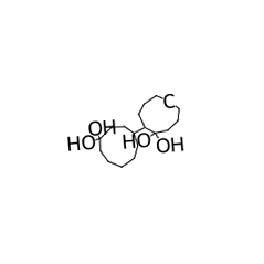 OC1(O)CCCCCC(C2CCCCCCCC2(O)O)CC1